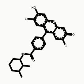 CC1CCCC(NC(=O)c2ccc(-c3c4cc(Cl)c(=O)cc-4oc4cc(O)c(Cl)cc34)cc2)C1C